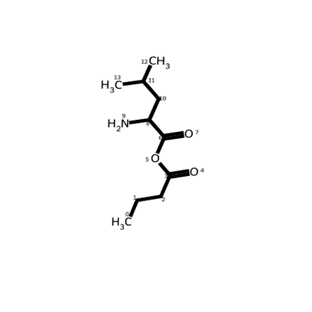 CCCC(=O)OC(=O)C(N)CC(C)C